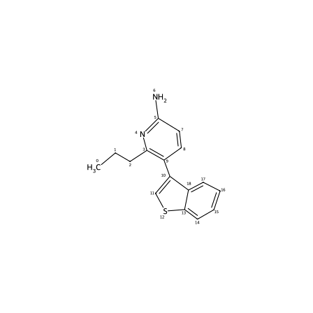 CCCc1nc(N)ccc1-c1csc2ccccc12